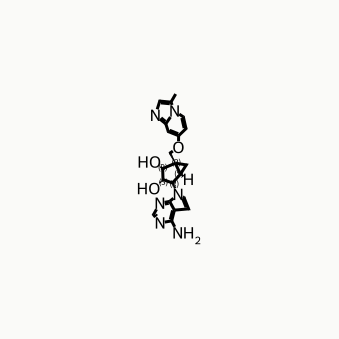 Cc1cnc2cc(OC[C@@]34C[C@@H]3[C@@H](n3ccc5c(N)ncnc53)[C@H](O)[C@@H]4O)ccn12